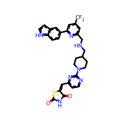 O=C1NC(=O)/C(=C\c2ccnc(N3CCC(CNCc4cc(C(F)(F)F)cc(-c5ccc6[nH]ccc6c5)n4)CC3)n2)S1